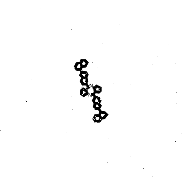 c1ccc2c(c1)/N=C(/c1ccc3cc(-c4cccc5ccccc45)ccc3c1)c1ccccc1/N=C\2c1ccc2cc(-c3cccc4ccccc34)ccc2c1